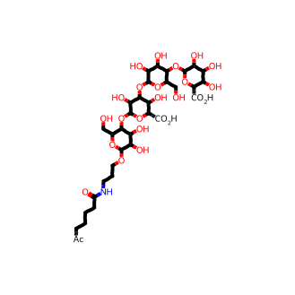 CC(=O)CCCCC(=O)NCCCOC1OC(CO)C(OC2OC(C(=O)O)C(O)C(OC3OC(CO)C(OC4OC(C(=O)O)C(O)C(O)C4O)C(O)C3O)C2O)C(O)C1O